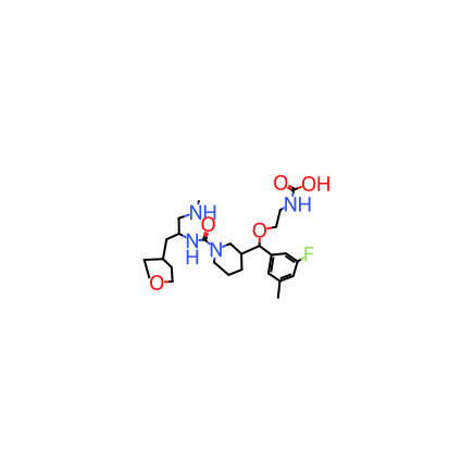 CNCC(CC1CCOCC1)NC(=O)N1CCCC(C(OCCNC(=O)O)c2cc(C)cc(F)c2)C1